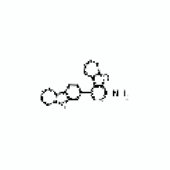 Nc1ccc(-c2ccc3c(c2)sc2ccccc23)c2c1oc1ccccc12